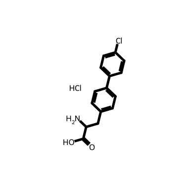 Cl.NC(Cc1ccc(-c2ccc(Cl)cc2)cc1)C(=O)O